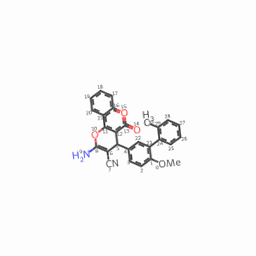 COc1ccc(C2C(C#N)=C(N)Oc3c2c(=O)oc2ccccc32)cc1-c1ccccc1C